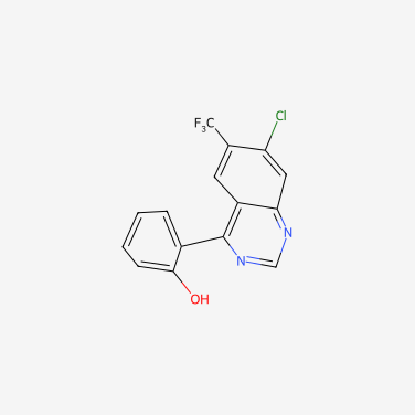 Oc1ccccc1-c1ncnc2cc(Cl)c(C(F)(F)F)cc12